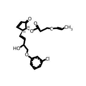 CC=CCCCC(=O)O[C@H]1C(=O)C=C[C@@H]1C=CC(O)COc1cccc(Cl)c1